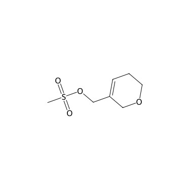 CS(=O)(=O)OCC1=CCCOC1